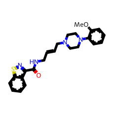 COc1ccccc1N1CCN(CC=CCNC(=O)c2nsc3ccccc23)CC1